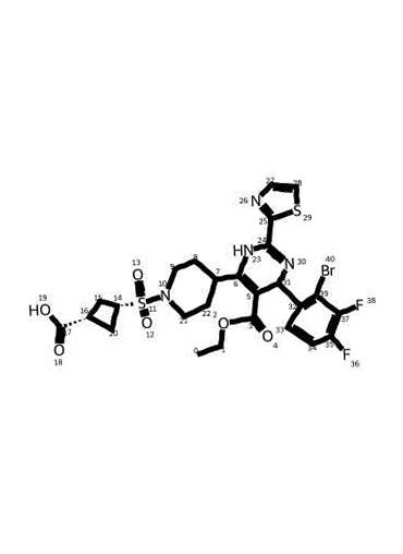 CCOC(=O)C1=C(C2CCN(S(=O)(=O)[C@H]3C[C@@H](C(=O)O)C3)CC2)NC(c2nccs2)=NC1c1ccc(F)c(F)c1Br